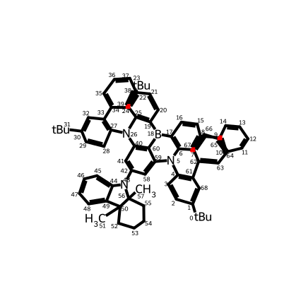 CC(C)(C)c1ccc(N2c3cc(-c4ccccc4)ccc3B3c4ccc(C(C)(C)C)cc4N(c4ccc(C(C)(C)C)cc4-c4ccccc4)c4cc(N5c6ccccc6C6(C)CCCCC56C)cc2c43)c(-c2ccccc2)c1